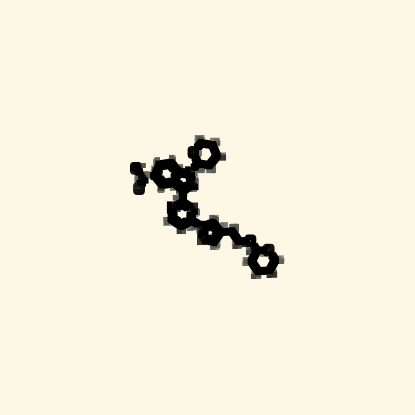 O=[N+]([O-])c1ccc2c(c1)c(-c1nccc(-n3cc(CCOC4CCCCO4)cn3)n1)nn2C1CCCCO1